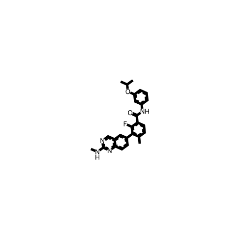 CNc1ncc2cc(-c3c(C)ccc(C(=O)Nc4cccc(OC(C)C)c4)c3F)ccc2n1